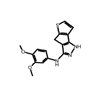 COc1ccc(Nc2n[nH]c3c2Cc2sccc2-3)cc1OC